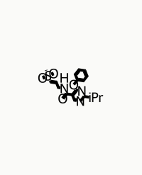 CC(C)c1ncc(C(=O)NC/C=C/S(C)(=O)=O)c(Oc2ccccc2)n1